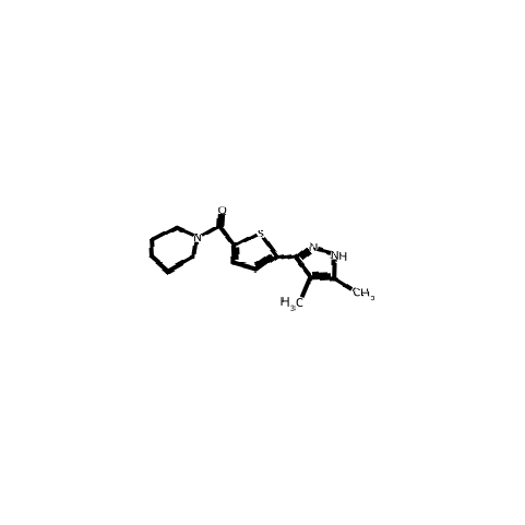 Cc1[nH]nc(-c2ccc(C(=O)N3CCCCC3)s2)c1C